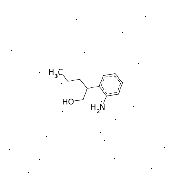 CCCC(CO)c1ccccc1N